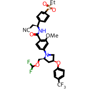 CCS(=O)(=O)c1ccc([C@H](CC#N)NC(=O)c2ccc(N3C[C@@H](Oc4ccc(C(F)(F)F)cc4)C[C@H]3COC(F)F)cc2OC)cc1